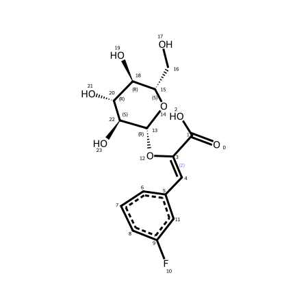 O=C(O)/C(=C/c1cccc(F)c1)O[C@H]1O[C@@H](CO)[C@H](O)[C@@H](O)[C@@H]1O